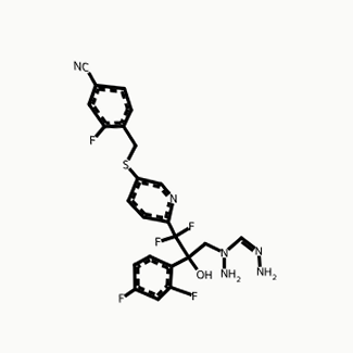 N#Cc1ccc(CSc2ccc(C(F)(F)C(O)(CN(N)/C=N\N)c3ccc(F)cc3F)nc2)c(F)c1